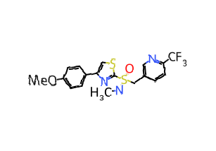 CN=S(=O)(Cc1ccc(C(F)(F)F)nc1)c1nc(-c2ccc(OC)cc2)cs1